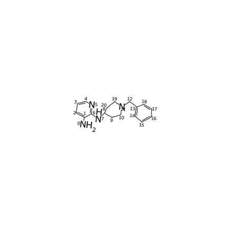 Nc1cccnc1NC1CCN(Cc2ccccc2)CC1